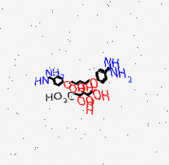 N=C(N)c1ccc(OCCCCCOc2ccc(C(=N)N)cc2)cc1.O=C(O)[C@H](O)[C@@H](O)[C@H](O)[C@H](O)CO